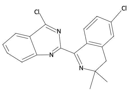 CC1(C)Cc2cc(Cl)ccc2C(c2nc(Cl)c3ccccc3n2)=N1